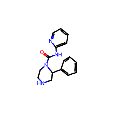 O=C(Nc1ccccn1)N1CCNCC1c1ccccc1